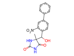 CC1(C(O)c2ccc(-c3ccccc3)cc2[N+](=O)[O-])NC(=O)NC1=O